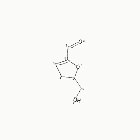 O=CC1=CCC(CO)O1